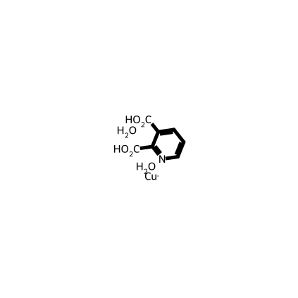 O.O.O=C(O)c1cccnc1C(=O)O.[Cu]